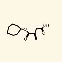 C=C(CC(=O)O)C(=O)OC1CCCCCC1